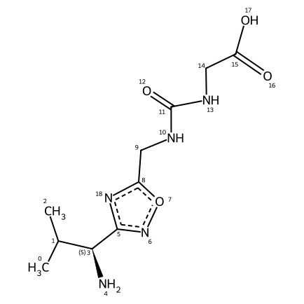 CC(C)[C@H](N)c1noc(CNC(=O)NCC(=O)O)n1